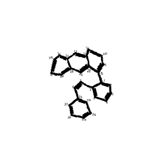 C(=Cc1ccccc1-c1cccc2cc3ccccc3cc12)c1ccccc1